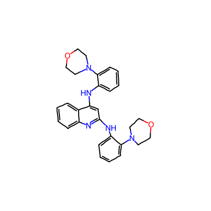 c1ccc(N2CCOCC2)c(Nc2cc(Nc3ccccc3N3CCOCC3)c3ccccc3n2)c1